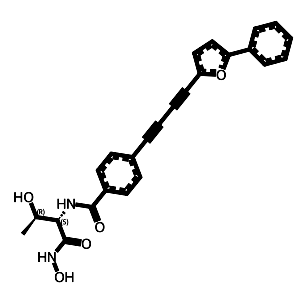 C[C@@H](O)[C@H](NC(=O)c1ccc(C#CC#Cc2ccc(-c3ccccc3)o2)cc1)C(=O)NO